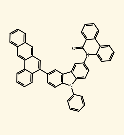 O=c1c2ccccc2c2ccccc2n1-c1ccc2c(c1)c1cc(-c3cc4cc5ccccc5cc4c4ccccc34)ccc1n2-c1ccccc1